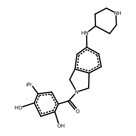 CC(C)c1cc(C(=O)N2Cc3ccc(NC4CCNCC4)cc3C2)c(O)cc1O